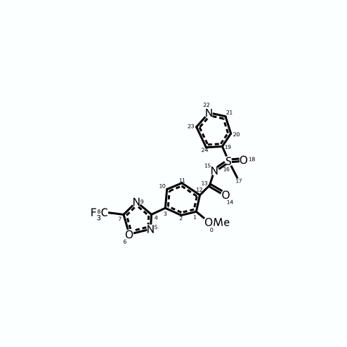 COc1cc(-c2noc(C(F)(F)F)n2)ccc1C(=O)N=S(C)(=O)c1ccncc1